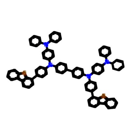 C1=CCC(N(c2ccccc2)c2ccc(N(c3ccc(-c4ccc(N(c5ccc(-c6cccc7c6sc6ccccc67)cc5)c5ccc(N(c6ccccc6)c6ccccc6)cc5)cc4)cc3)c3ccc(-c4cccc5c4sc4ccccc45)cc3)cc2)C=C1